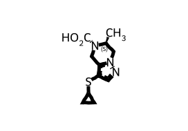 C[C@H]1Cn2ncc(SC3CC3)c2CN1C(=O)O